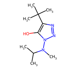 CC(C)N(C)n1nnc(C(C)(C)C)c1O